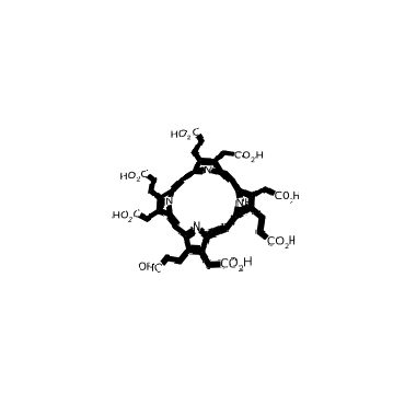 O=CCCC1=C(CC(=O)O)c2cc3[nH]c(cc4nc(cc5[nH]c(cc1n2)c(CC(=O)O)c5CCC(=O)O)C(CCC(=O)O)=C4CC(=O)O)c(CC(=O)O)c3CCC(=O)O